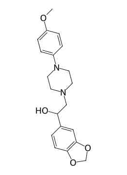 COc1ccc(N2CCN(CC(O)c3ccc4c(c3)OCO4)CC2)cc1